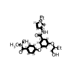 CC[C@@H](CO)Oc1cc(Oc2ccc(C(=O)N(C)C)cc2)cc(C(=O)Nc2ccn(CC)n2)c1